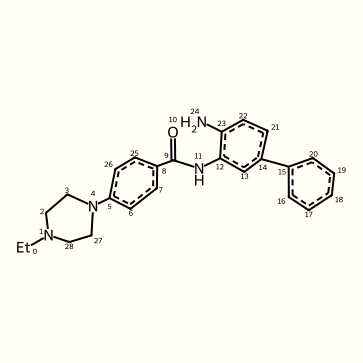 CCN1CCN(c2ccc(C(=O)Nc3cc(-c4ccccc4)ccc3N)cc2)CC1